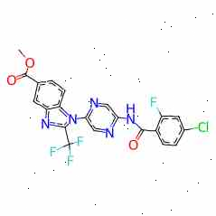 COC(=O)c1ccc2c(c1)nc(C(F)(F)F)n2-c1cnc(NC(=O)c2ccc(Cl)cc2F)cn1